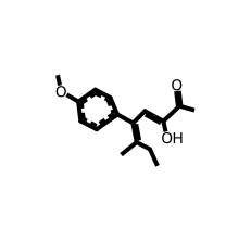 CC/C(C)=C(\C=C(/O)C(C)=O)c1ccc(OC)cc1